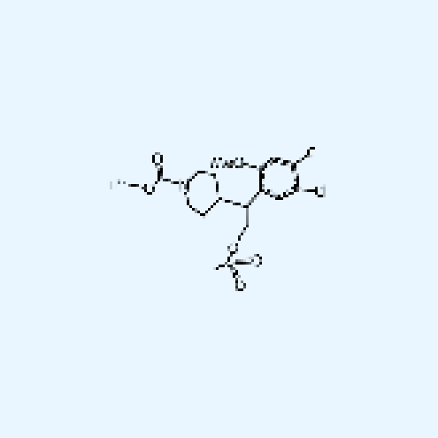 COc1cc(Cl)c(Cl)cc1C(COS(C)(=O)=O)C1CCN(C(=O)OC(C)C)CC1